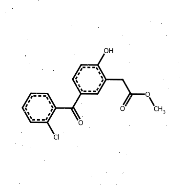 COC(=O)Cc1cc(C(=O)c2ccccc2Cl)ccc1O